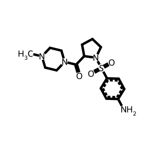 CN1CCN(C(=O)C2CCCN2S(=O)(=O)c2ccc(N)cc2)CC1